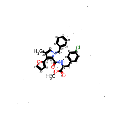 COC(=O)C(Cc1ccc(Cl)cc1)NC(=O)c1c(-c2ccco2)c(C)cn1Cc1ccccc1